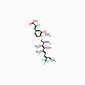 C=C\C(=C/C=C(C)/C(O)=C(\C)C(N)CSc1ccc(/C=C(\Cl)C(=O)O)cc1OC)C(F)(F)F